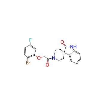 O=C(COc1cc(F)ccc1Br)N1CCC2(CC1)C(=O)Nc1ccccc12